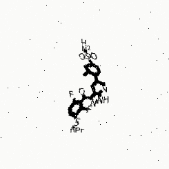 CCCSc1ccc(F)c(C(=O)c2n[nH]c3ncc(-c4ccc(S(N)(=O)=O)cc4C)cc23)c1F